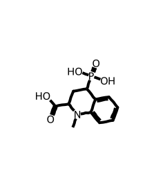 CN1c2ccccc2C(P(=O)(O)O)CC1C(=O)O